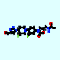 CC(=O)NC[C@H]1CN(c2ccc(N3CCC(n4cc(C=O)nn4)C(F)C3)c(F)c2)C(=O)O1